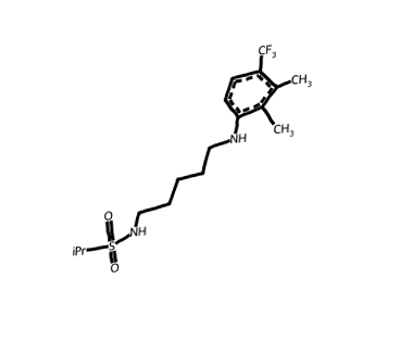 Cc1c(NCCCCCNS(=O)(=O)C(C)C)ccc(C(F)(F)F)c1C